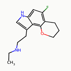 CCNCCc1c[nH]c2cc(F)c3c(c12)OCCC3